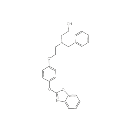 OCCN(CCOc1ccc(Oc2nc3ccccc3o2)cc1)Cc1ccccc1